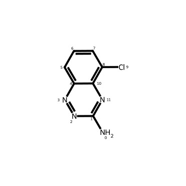 Nc1nnc2cccc(Cl)c2n1